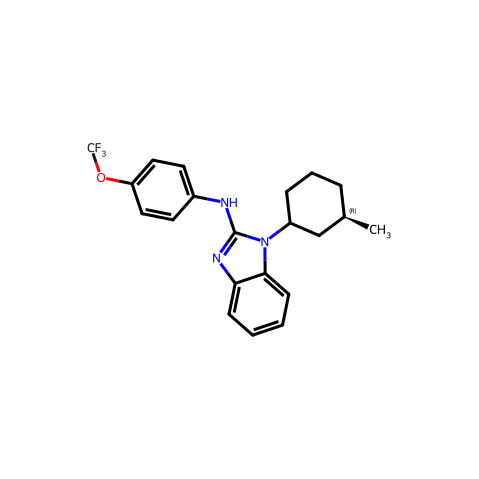 C[C@@H]1CCCC(n2c(Nc3ccc(OC(F)(F)F)cc3)nc3ccccc32)C1